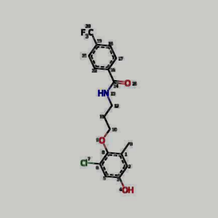 Cc1cc(O)cc(Cl)c1OCCCNC(=O)c1ccc(C(F)(F)F)cc1